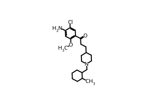 COc1cc(N)c(Cl)cc1C(=O)CCC1CCN(CC2CCCCC2C)CC1